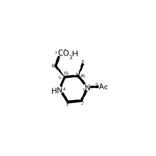 CC(=O)N1CCN[C@@H](CC(=O)O)[C@H]1C